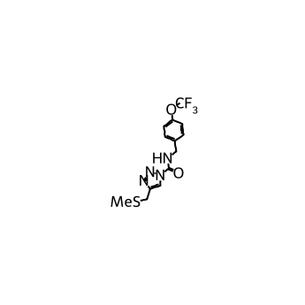 CSCc1cn(C(=O)NCc2ccc(OC(F)(F)F)cc2)nn1